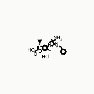 CC1(CN)CN(c2cc3c(cc2F)OC(C(=O)O)=CN3C2CC2)C/C1=N\OCc1ccccc1.Cl